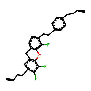 C=CCCc1ccc(CCc2ccc3c(c2F)Oc2c(cc(CCC=C)c(F)c2F)C3)cc1